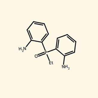 CCP(=O)(c1ccccc1N)c1ccccc1N